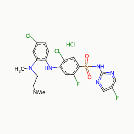 CNCCN(C)c1cc(Cl)ccc1Nc1cc(F)c(S(=O)(=O)Nc2ncc(F)cn2)cc1Cl.Cl